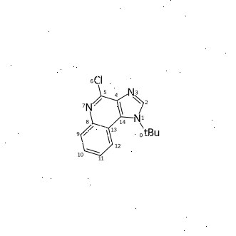 CC(C)(C)n1cnc2c(Cl)nc3ccccc3c21